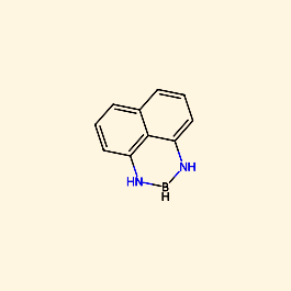 B1Nc2cccc3cccc(c23)N1